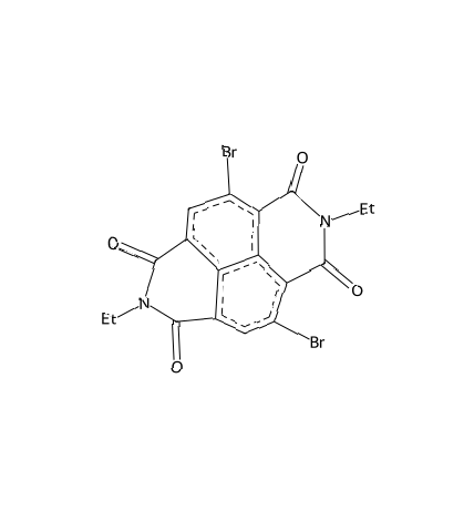 CCN1C(=O)c2cc(Br)c3c4c(c(Br)cc(c24)C1=O)C(=O)N(CC)C3=O